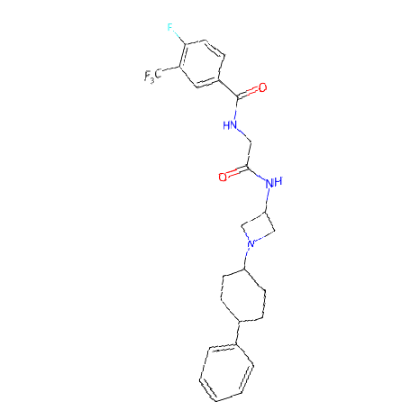 O=C(CNC(=O)c1ccc(F)c(C(F)(F)F)c1)NC1CN(C2CCC(c3ccccc3)CC2)C1